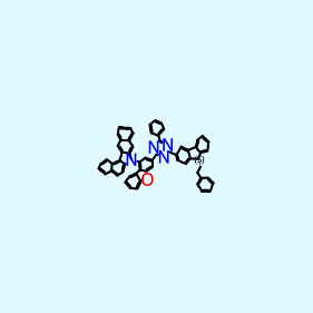 c1ccc(CC[C@H]2c3ccccc3-c3cc(-c4nc(-c5ccccc5)nc(-c5cc(-n6c7cc8ccccc8cc7c7c8ccccc8ccc76)c6c(c5)oc5ccccc56)n4)ccc32)cc1